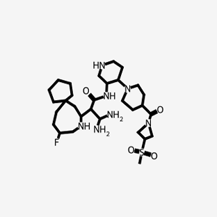 CS(=O)(=O)C1CN(C(=O)C2CCN(C3CCNCC3NC(=O)C(C(N)N)C3CC4(CCCCC4)CCC(F)CN3)CC2)C1